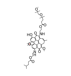 COc1c2c3c4c(c(NCCOC(=O)CCC(C)(C)OCC(C)(C)OC)c(=O)c5c(O)cc(OC)c(c6c(OC)cc(NCCOC(=O)CCC(C)C)c(c1=O)c63)c54)C=C(C)C2